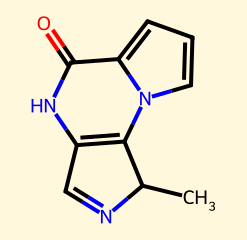 CC1N=Cc2[nH]c(=O)c3cccn3c21